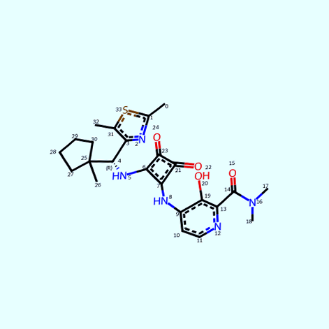 Cc1nc([C@H](Nc2c(Nc3ccnc(C(=O)N(C)C)c3O)c(=O)c2=O)C2(C)CCCC2)c(C)s1